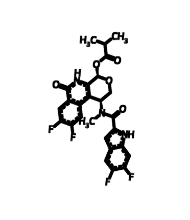 CC(C)C(=O)O[C@H]1OC[C@@H](N(C)C(=O)c2cc3cc(F)c(F)cc3[nH]2)c2c1[nH]c(=O)c1cc(F)c(F)cc21